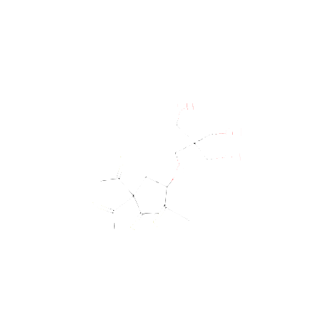 CC(=S)C(CC(C(C)=S)(C(C)=S)C(C)=S)OCC(CO)(CO)CO